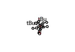 CC(C)(C)c1ccc2c(c1)c1cc(C(C)(C)C)ccc1n2-c1cc2c3c(c1)N(c1ccc(-c4ccccc4)cc1)c1cc(N4C5CC6CC(C5)CC4C6)ccc1B3c1ccc(-c3ccccc3)cc1N2c1cccc(-c2ccccc2)c1